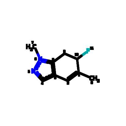 CC1=Cc2cnn(C)c2CC1F